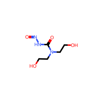 O=NNC(=O)N(CCO)CCO